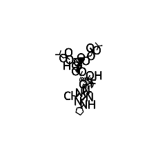 CC(C)OC(=O)OCOP(=O)(CP(=O)(O)OC[C@H]1O[C@@H](n2cnc3c(NC4CCCC4)nc(Cl)nc32)[C@@H](F)[C@@H]1O)OCOC(=O)OC(C)C